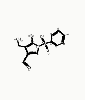 CCc1c(C=O)cn(S(=O)(=O)c2ccccc2)c1Br